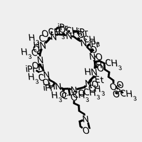 CCC1NC(=O)[C@@H]2[C@@H]([C@H](C)CCCCOS(C)(=O)=O)ON2C(=O)C(C(C)C)N(C)C(=O)[C@H](CC(C)C)N(C)C(=O)[C@H](CC(C)C)N(C)C(=O)[C@@H](C)NC(=O)C(C)NC(=O)[C@H](CC(C)C)N(C)C(=O)C(C(C)C)NC(=O)C([C@@H](C)OCCCCN2CCOCC2)N(C)C(=O)[C@@H](C)N(C)C1=O